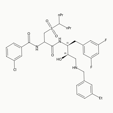 CCCC(CCC)S(=O)(=O)CC(NC(=O)c1cccc(Cl)c1)C(=O)N[C@@H](Cc1cc(F)cc(F)c1)[C@H](O)CNCc1cccc(CC)c1